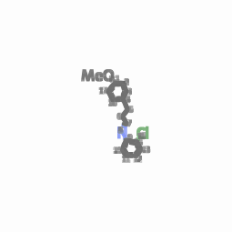 COc1ccc(CCC=Nc2ccccc2Cl)cc1